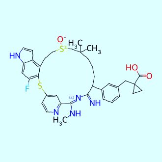 CN/C1=N\C(=N)C(c2cccc(CC3(C(=O)O)CC3)c2)CCCC(C)(C)C[S+]([O-])CCc2c(c(F)cc3[nH]ccc23)Sc2ccnc1c2